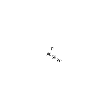 [Al].[Pr].[Si].[Ti]